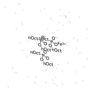 CCCCCCCCOP(=O)([O-])CCCCCCCC.CCCCCCCCOP(=O)([O-])CCCCCCCC.CCCCCCCCOP(=O)([O-])CCCCCCCC.[Fe+3]